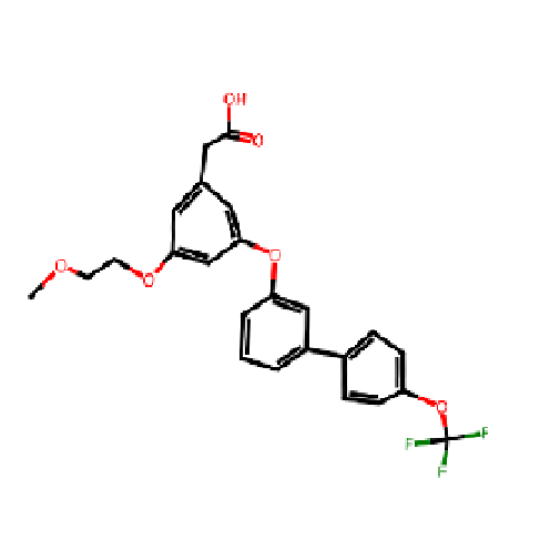 COCCOc1cc(CC(=O)O)cc(Oc2cccc(-c3ccc(OC(F)(F)F)cc3)c2)c1